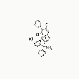 Cl.Cn1cncc1C(N)(c1ccc2nc(Cl)c(-c3ccccc3)c(Cl)c2c1)c1ccccn1